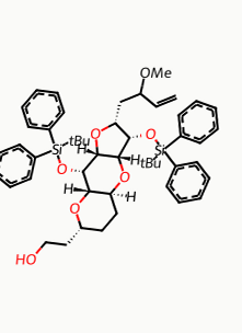 C=CC(C[C@H]1O[C@H]2[C@@H](O[Si](c3ccccc3)(c3ccccc3)C(C)(C)C)[C@H]3O[C@@H](CCO)CC[C@@H]3O[C@H]2[C@H]1O[Si](c1ccccc1)(c1ccccc1)C(C)(C)C)OC